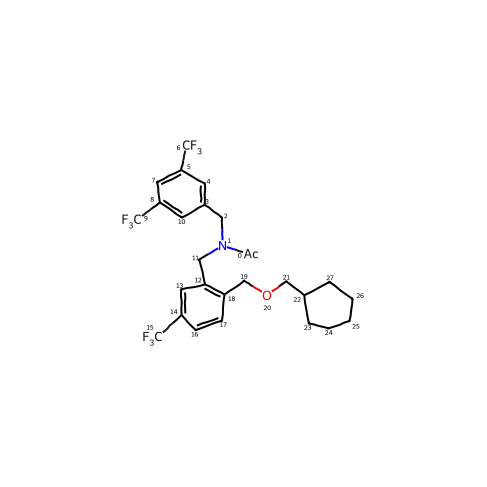 CC(=O)N(Cc1cc(C(F)(F)F)cc(C(F)(F)F)c1)Cc1cc(C(F)(F)F)ccc1COCC1CCCCC1